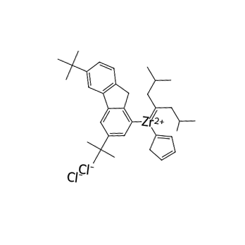 CC(C)C[C](CC(C)C)=[Zr+2]([C]1=CC=CC1)[c]1cc(C(C)(C)C)cc2c1Cc1ccc(C(C)(C)C)cc1-2.[Cl-].[Cl-]